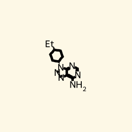 CC[C@H]1CC[C@H](n2nnc3c(N)ncnc32)CC1